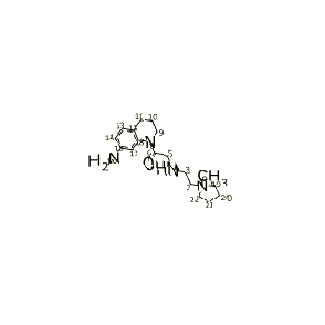 C[N+]1(CCNCC(=O)N2CCCc3ccc(N)cc32)CCCC1